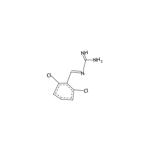 N=C(N)N=Cc1c(Cl)cccc1Cl